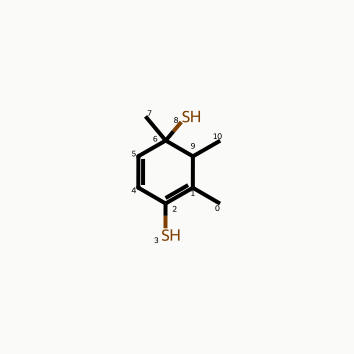 CC1=C(S)C=CC(C)(S)C1C